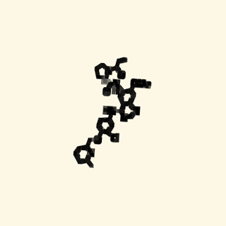 C=CC(=O)N1CCC[C@H]1C(=O)Nc1cc2c(Nc3ccc(OCc4cccc(C)n4)c(Cl)c3)ncnc2cc1OC